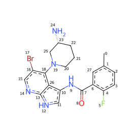 Cc1ccc(F)c(C(=O)Nc2c[nH]c3ncc(Br)c(N4CCC[C@@H](N)C4)c23)c1